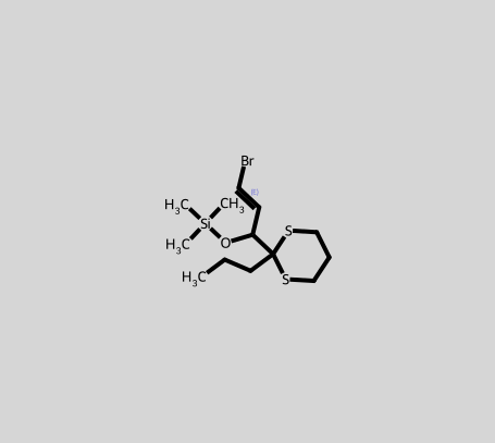 CCCC1(C(/C=C/Br)O[Si](C)(C)C)SCCCS1